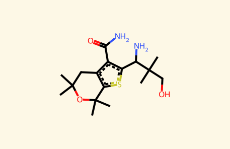 CC1(C)Cc2c(sc(C(N)C(C)(C)CO)c2C(N)=O)C(C)(C)O1